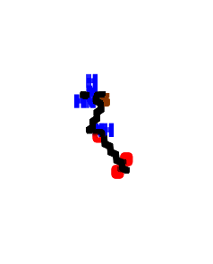 C=C(CCCCC1SCC2NC(=C)NC21)NOCCCCCCC(=O)C(C)=O